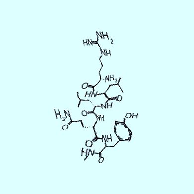 CNC(=O)[C@H](Cc1ccc(O)cc1)NC(=O)[C@H](CCC(N)=O)NC(=O)[C@H](CC(C)C)NC(=O)[C@H](CC(C)C)NC(=O)[C@@H](N)CCCNC(=N)N